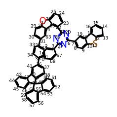 c1ccc(-c2nc(-c3ccc4sc5ccccc5c4c3)nc(-c3cccc4oc5ccc(-c6ccc(-c7ccc8c(c7)-c7ccccc7C87c8ccccc8-c8ccccc87)cc6)cc5c34)n2)cc1